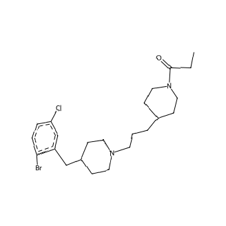 CCC(=O)N1CCC(CCCN2CCC(Cc3cc(Cl)ccc3Br)CC2)CC1